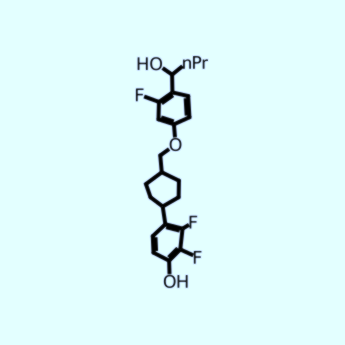 CCCC(O)c1ccc(OCC2CCC(c3ccc(O)c(F)c3F)CC2)cc1F